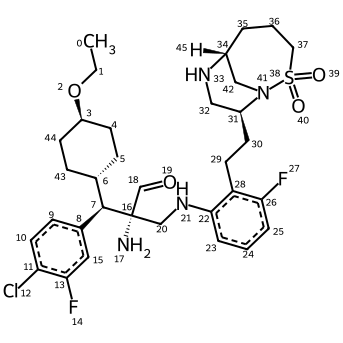 CCO[C@H]1CC[C@H]([C@H](c2ccc(Cl)c(F)c2)[C@@](N)(C=O)CNc2cccc(F)c2CC[C@H]2CN[C@@H]3CCCS(=O)(=O)N2C3)CC1